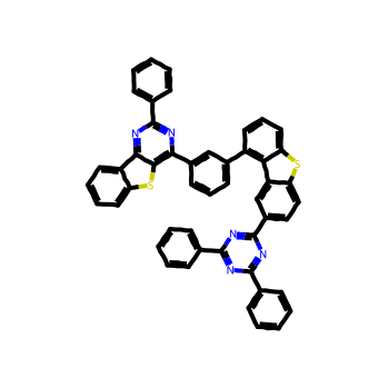 c1ccc(-c2nc(-c3ccccc3)nc(-c3ccc4sc5cccc(-c6cccc(-c7nc(-c8ccccc8)nc8c7sc7ccccc78)c6)c5c4c3)n2)cc1